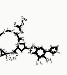 CCOC(=O)[C@@]12C[C@H]1/C=C\CCCCC[C@H](NC(=O)OC(C)(C)C)C(=O)N1CC(n3nc4cc(-c5ccsc5)c(C)c(C)c4n3)CC1C(=O)N2